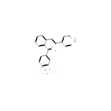 CSc1ccc(-c2nc(-c3ccncc3)cc3ccccc23)cc1